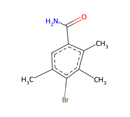 Cc1cc(C(N)=O)c(C)c(C)c1Br